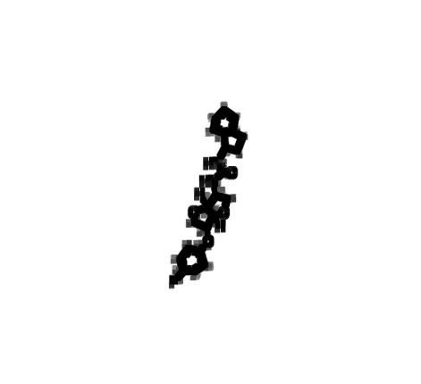 O=C(NC1CCc2ccccc21)N[C@H]1CO[C@H]2[C@@H]1OC[C@@H]2Oc1ccc(F)cc1